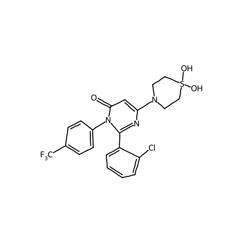 O=c1cc(N2CCS(O)(O)CC2)nc(-c2ccccc2Cl)n1-c1ccc(C(F)(F)F)cc1